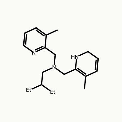 CCC(CC)CN(CC1=C(C)C=CCN1)Cc1ncccc1C